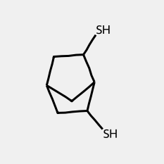 SC1CC2CC(S)C1C2